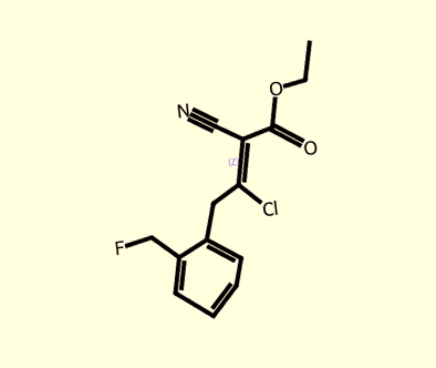 CCOC(=O)/C(C#N)=C(\Cl)Cc1ccccc1CF